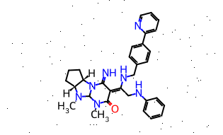 CN1C(=O)/C(=C(\CNc2ccccc2)NCc2ccc(-c3ccccn3)cc2)C(=N)N2C1N(C)[C@@H]1CCC[C@@H]12